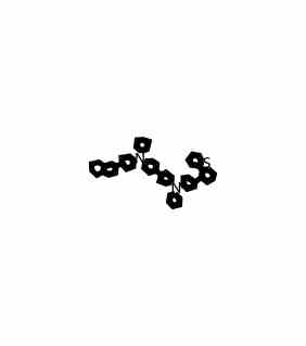 c1ccc(N(c2ccc(-c3ccc(N(c4ccccc4)c4ccc(-c5cccc6sc7ccccc7c56)cc4)cc3)cc2)c2ccc(-c3ccc4c(c3)CCCC4)cc2)cc1